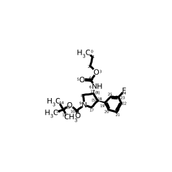 CCCOC(=O)N[C@H]1CN(C(=O)OC(C)(C)C)C[C@@H]1c1cccc(F)c1